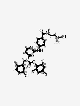 CCN(CC)CCN(C)C(=O)c1ccc(Nc2nccc(N(Cc3cc(Cl)ccc3F)C(=O)Oc3c(C)cc(C)cc3C)n2)cc1